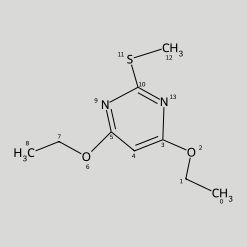 CCOc1cc(OCC)nc(SC)n1